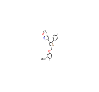 COc1cc(OCc2cc(-c3ccc(OC(F)(F)F)nc3)c(-c3ccc(C)cc3)s2)ccc1C